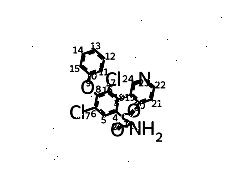 NS(=O)(=O)c1cc(Cl)c(Oc2ccccc2)c(Cl)c1-c1cccnc1